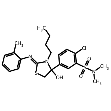 CCCCN1C(=Nc2ccccc2C)SCC1(O)c1ccc(Cl)c(S(=O)(=O)N(C)C)c1